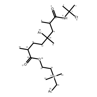 CCC(C)(C)NC(=O)C(C)CC(C)(CCC(C)C(=O)OCC[N+](C)(C)CC(C)=O)C(C)=O